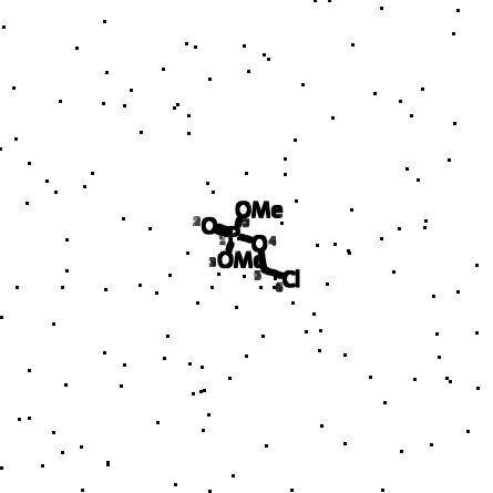 COP(=O)(OC)OCCl